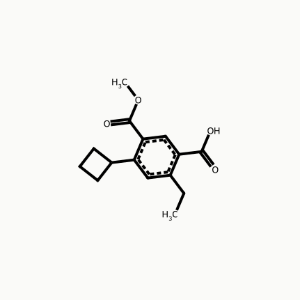 CCc1cc(C2CCC2)c(C(=O)OC)cc1C(=O)O